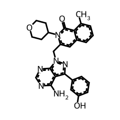 Cc1cccc2cc(Cn3nc(-c4cccc(O)c4)c4c(N)ncnc43)n(C3CCOCC3)c(=O)c12